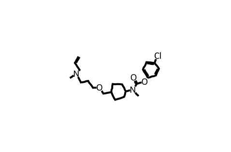 C=CCN(C)CCCOCC1CCC(N(C)C(=O)Oc2ccc(Cl)cc2)CC1